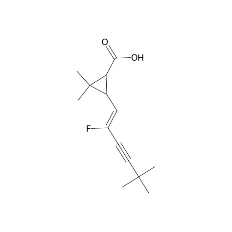 CC(C)(C)C#CC(F)=CC1C(C(=O)O)C1(C)C